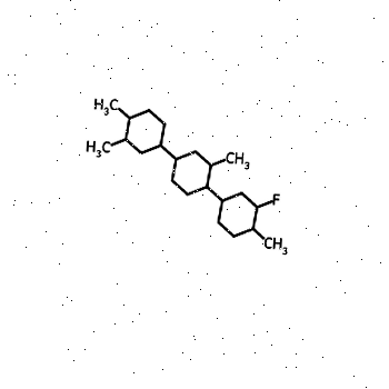 CC1CCC(C2CCC(C3CCC(C)C(F)C3)C(C)C2)CC1C